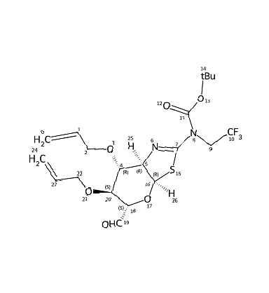 C=CCO[C@@H]1[C@H]2N=C(N(CC(F)(F)F)C(=O)OC(C)(C)C)S[C@H]2O[C@H](C=O)[C@H]1OCC=C